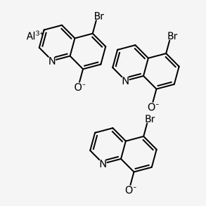 [Al+3].[O-]c1ccc(Br)c2cccnc12.[O-]c1ccc(Br)c2cccnc12.[O-]c1ccc(Br)c2cccnc12